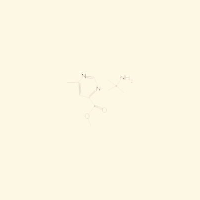 CC(C)(C)N.COC(=O)c1cc(C)ncn1